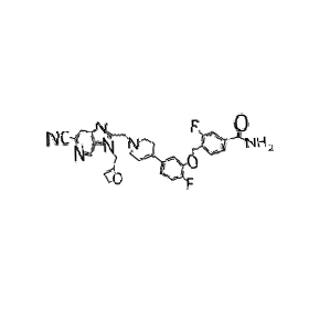 N#Cc1cc2nc(CN3CC=C(c4ccc(F)c(OCc5ccc(C(N)=O)cc5F)c4)CC3)n(CC3CCO3)c2cn1